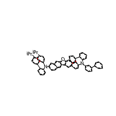 CC(C)c1ccc(-c2ccccc2N(c2ccc(C(C)C)cc2)c2ccc3cc4c(cc3c2)oc2cc3cc(N(c5cccc(-c6ccccc6)c5)c5ccccc5-c5ccccc5)ccc3cc24)cc1